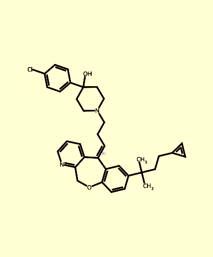 CC(C)(CCC1=C=C1)c1ccc2c(c1)/C(=C/CCN1CCC(O)(c3ccc(Cl)cc3)CC1)c1cccnc1CO2